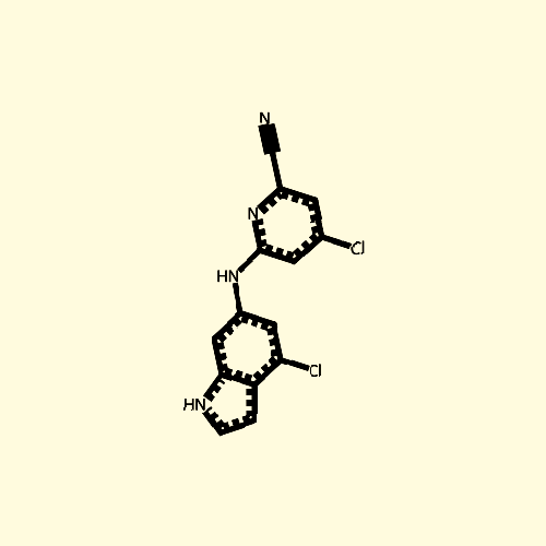 N#Cc1cc(Cl)cc(Nc2cc(Cl)c3cc[nH]c3c2)n1